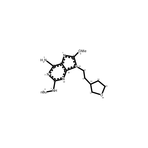 CCCCNc1nc(N)c2nc(OC)n(CCC3CCOC3)c2n1